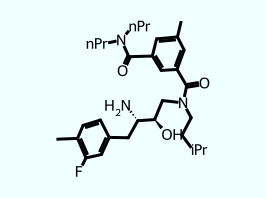 CCCN(CCC)C(=O)c1cc(C)cc(C(=O)N(CCC(C)C)C[C@@H](O)[C@@H](N)Cc2ccc(C)c(F)c2)c1